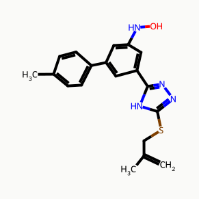 C=C(C)CSc1nnc(-c2cc(NO)cc(-c3ccc(C)cc3)c2)[nH]1